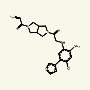 C=CC(=O)N1CC2CN(C(=O)CNc3cc(-c4ccsc4)c(Cl)cc3OC)CC2C1